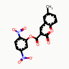 Cc1ccc2oc(=O)c(C(=O)Oc3cc([N+](=O)[O-])ccc3[N+](=O)[O-])cc2c1